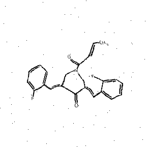 C/C=C/C(=O)N1C/C(=C\c2ccccc2F)C(=O)/C(=C/c2ccccc2F)C1